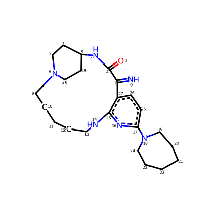 N=C1C(=O)NC2CCN(CCCCCNc3nc(N4CCCCCC4)ccc31)CC2